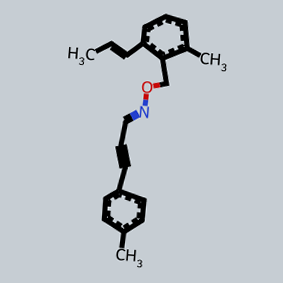 C/C=C/c1cccc(C)c1CO/N=C/C#Cc1ccc(C)cc1